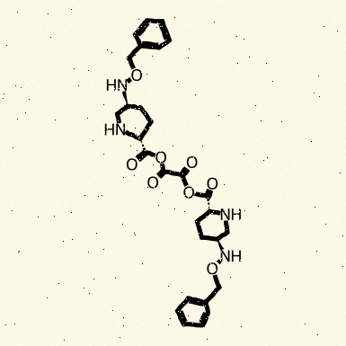 O=C(OC(=O)[C@H]1CC[C@H](NOCc2ccccc2)CN1)C(=O)OC(=O)[C@H]1CC[C@H](NOCc2ccccc2)CN1